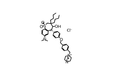 CCCCC1(CCCC)CS(=O)(=O)c2ccc(N(C)C)cc2[C@@H](c2ccc(OCc3ccc(C[N+]45CCN(CC4)CC5)cc3)cc2)C1O.[Cl-]